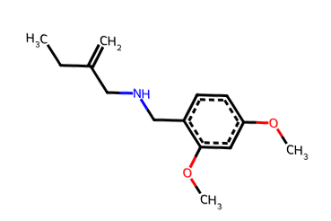 C=C(CC)CNCc1ccc(OC)cc1OC